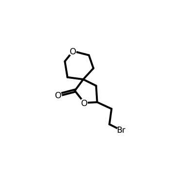 O=C1OC(CCBr)CC12CCOCC2